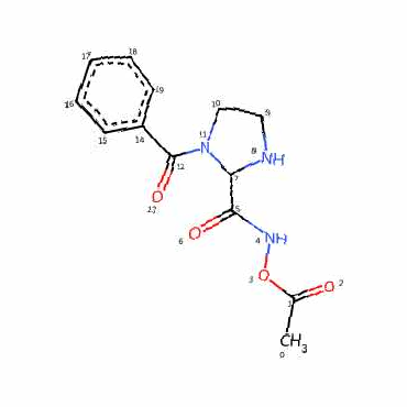 CC(=O)ONC(=O)C1NCCN1C(=O)c1ccccc1